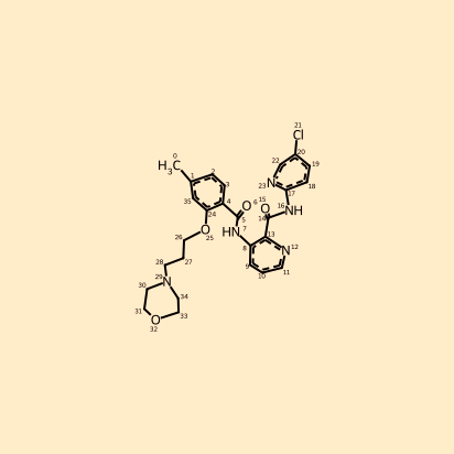 Cc1ccc(C(=O)Nc2cccnc2C(=O)Nc2ccc(Cl)cn2)c(OCCCN2CCOCC2)c1